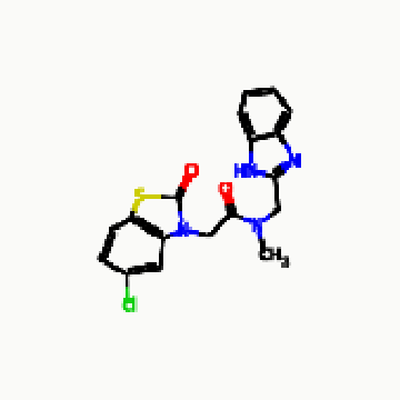 CN(Cc1nc2ccccc2[nH]1)C(=O)Cn1c(=O)sc2ccc(Cl)cc21